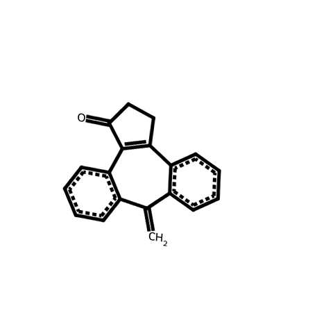 C=C1c2ccccc2C2=C(C(=O)CC2)c2ccccc21